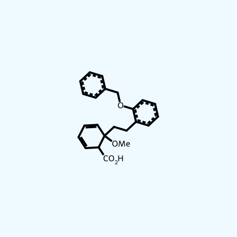 COC1(CCc2ccccc2OCc2ccccc2)C=CC=CC1C(=O)O